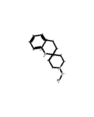 CC(C)ON1CCC2(CCc3ccccc3O2)CC1